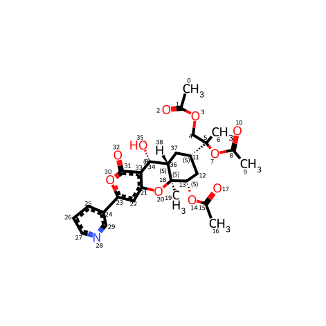 CC(=O)OCC(C)(OC(C)=O)[C@@H]1C[C@H](OC(C)=O)[C@@]2(C)Oc3cc(-c4cccnc4)oc(=O)c3[C@H](O)[C@@H]2C1